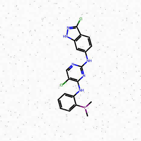 CP(C)c1ccccc1Nc1nc(Nc2ccc3c(Cl)n[nH]c3c2)ncc1Cl